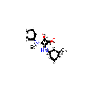 CCN(c1ccccc1)c1c(Nc2cccc(C#N)c2)c(=O)c1=O